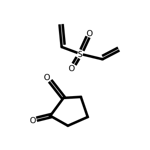 C=CS(=O)(=O)C=C.O=C1CCCC1=O